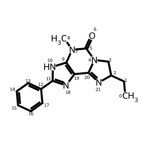 CCC1CN2C(=O)N(C)c3[nH]c(-c4ccccc4)nc3C2=N1